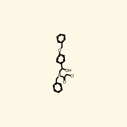 O=C(CCl)N(Cc1ccccc1)CC(O)c1ccc(OCc2ccccc2)cc1